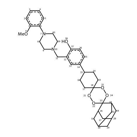 COc1ccccc1N1CCN(Cc2cc(C3CCC4(CC3)OOC3(OO4)C4CC5CC(C4)CC3C5)ccc2O)CC1